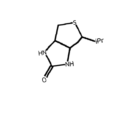 CC(C)C1SCC2NC(=O)NC21